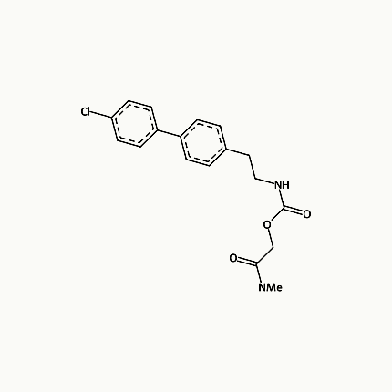 CNC(=O)COC(=O)NCCc1ccc(-c2ccc(Cl)cc2)cc1